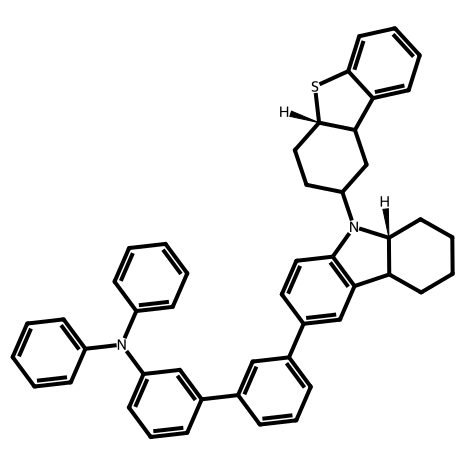 c1ccc(N(c2ccccc2)c2cccc(-c3cccc(-c4ccc5c(c4)C4CCCC[C@H]4N5C4CC[C@@H]5Sc6ccccc6C5C4)c3)c2)cc1